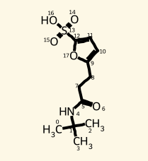 CC(C)(C)NC(=O)CCc1ccc(S(=O)(=O)O)o1